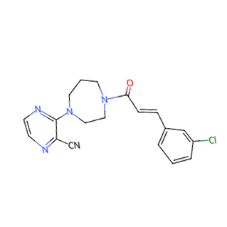 N#Cc1nccnc1N1CCCN(C(=O)/C=C/c2cccc(Cl)c2)CC1